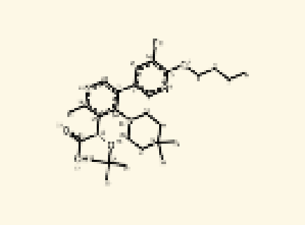 CCCCOc1ncc(-c2cnc(C)c([C@H](OC(C)(C)C)C(=O)O)c2N2CCC(C)(C)CC2)cc1F